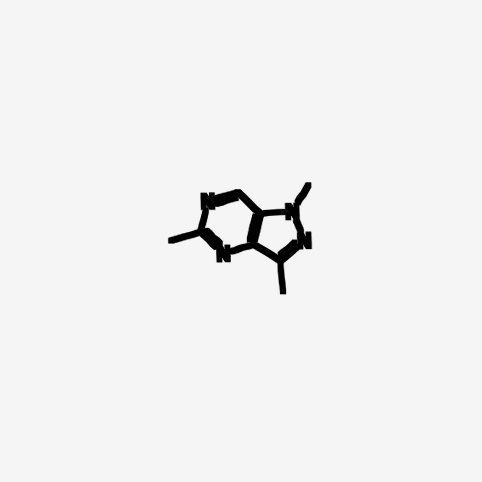 Cc1ncc2c(n1)c(C)nn2C